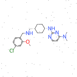 COc1cc(Cl)ccc1CNC[C@H]1CC[C@@H](Nc2nccc(N(C)C)n2)CC1